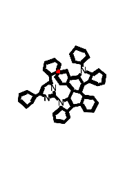 c1ccc(-c2cc(-c3ccccc3)nc(-n3c4ccccc4c4c5ccccc5c5c6c7ccccc7n(-c7ccccc7)c6c6ccccc6c5c43)n2)cc1